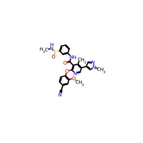 CN[S@+]([O-])c1cccc(NC(=O)c2c(Oc3ccc(C#N)cc3OC)ncc(-c3cnn(C)c3)c2C)c1